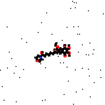 CCOC(=O)C1(CCCCCCCC(=O)N2CCOCC2)CC2=C(C1)C(=O)C(OC)=C(OC)C2=O